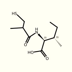 CC[C@H](C)[C@H](NC(=O)C(C)CS)C(=O)O